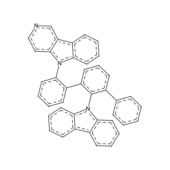 c1ccc(-c2cccc(-c3ccccc3-n3c4ccccc4c4cnccc43)c2-n2c3ccccc3c3ccccc32)cc1